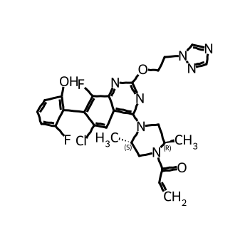 C=CC(=O)N1C[C@H](C)N(c2nc(OCCn3cncn3)nc3c(F)c(-c4c(O)cccc4F)c(Cl)cc23)C[C@H]1C